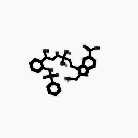 CCc1nc2ccc(C(=O)O)cc2n1CCC(C)(C)NCC(O)c1ccccc1NS(=O)(=O)c1ccccc1